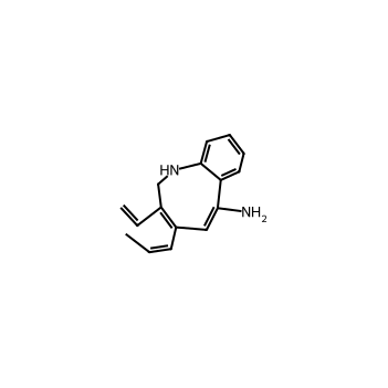 C=C/C1=C(\C=C/C)/C=C(/N)c2ccccc2NC1